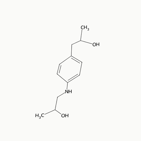 CC(O)CNc1ccc(CC(C)O)cc1